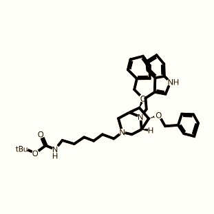 CC(C)(C)OC(=O)NCCCCCCN1CC2[C@@H](OCc3ccccc3)[C@H](OCc3ccccc3)[C@H](C1)N2CCc1c[nH]c2ccccc12